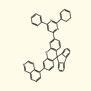 C1=CCCC(c2nc(-c3ccccc3)cc(-c3ccc4c(c3)Oc3cc(-c5cccc6cnccc56)ccc3C43c4ccccc4-c4ccccc43)n2)=C1